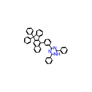 c1ccc(C2=NC(c3cccc(-c4c5c(cc6ccccc46)C(c4ccccc4)(c4ccccc4)c4ccccc4-5)c3)=NC(c3ccccc3)N2)cc1